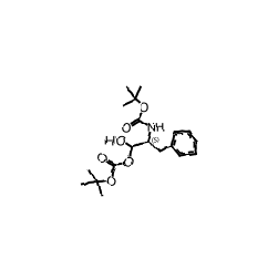 CC(C)(C)OC(=O)N[C@@H](Cc1ccccc1)C(O)OC(=O)OC(C)(C)C